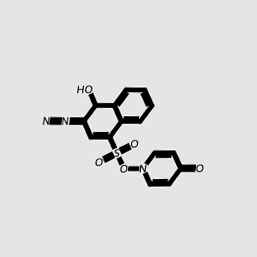 [N-]=[N+]=C1C=C(S(=O)(=O)On2ccc(=O)cc2)c2ccccc2C1O